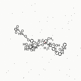 Cc1c(-c2ccc(N3CCc4cccc(C(=O)Nc5nc6ccccc6s5)c4C3)nc2C(=O)O)cnn1CC12CC3(C)CC(C)(C1)CC(OCCN(C)C(=O)OCc1ccc(OCCOCCNC(=O)CCN4C(=O)C=CC4=O)cc1O[C@@H]1O[C@H](C(=O)O)[C@@H](O)[C@H](O)[C@H]1O)(C3)C2